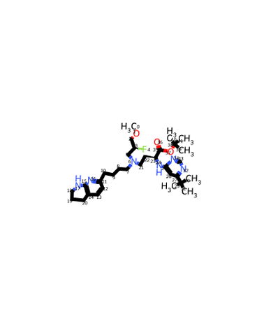 COC[C@@H](F)CN(CCCCc1ccc2c(n1)NCCC2)CC[C@H](Nc1cc(C(C)(C)C)ncn1)C(=O)OC(C)(C)C